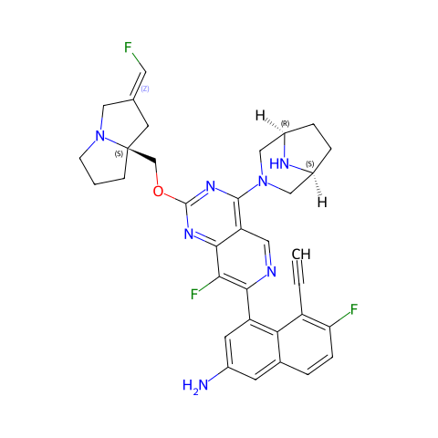 C#Cc1c(F)ccc2cc(N)cc(-c3ncc4c(N5C[C@H]6CC[C@@H](C5)N6)nc(OC[C@@]56CCCN5C/C(=C\F)C6)nc4c3F)c12